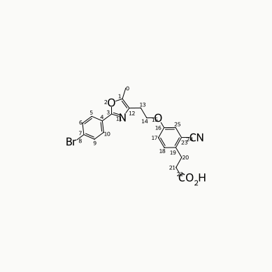 Cc1oc(-c2ccc(Br)cc2)nc1CCOc1ccc(CCC(=O)O)c(C#N)c1